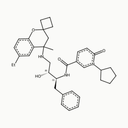 CCc1ccc2c(c1)C(C)(NC[C@@H](O)[C@H](Cc1ccccc1)NC(=O)c1ccc(=O)n(C3CCCC3)c1)CC1(CCC1)O2